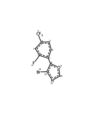 Fc1cc(C(F)(F)F)ccc1-c1ocnc1Br